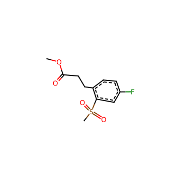 COC(=O)CCc1ccc(F)cc1S(C)(=O)=O